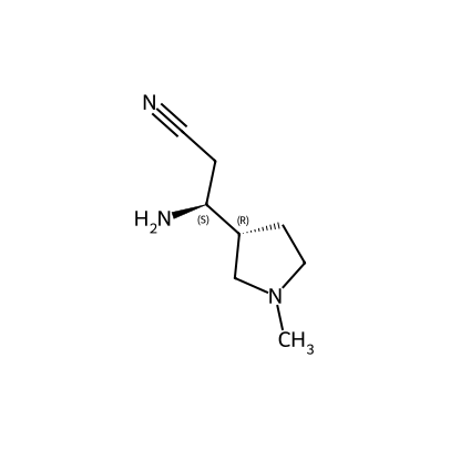 CN1CC[C@@H]([C@@H](N)CC#N)C1